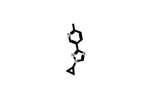 Cc1ccc(-c2ncn(C3CC3)n2)cn1